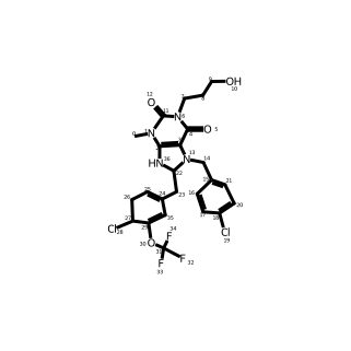 Cn1c2c(c(=O)n(CCCO)c1=O)N(Cc1ccc(Cl)cc1)C(CC1=CCC(Cl)C(OC(F)(F)F)=C1)N2